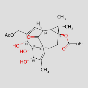 CCCC(=O)O[C@@]12CC[C@]34C=C(C)[C@H](O)[C@@]3(O)[C@H](O)C(COC(C)=O)=C[C@H](C4=O)C1C2(C)C